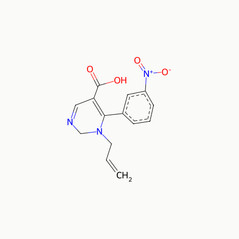 C=CCN1CN=CC(C(=O)O)=C1c1cccc([N+](=O)[O-])c1